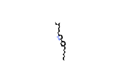 CCCCCCCc1ccc(-c2ccc(CCCCC(C)CC)nn2)cc1